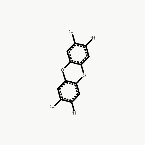 [2H]c1cc2c(cc1[2H])Oc1cc([2H])c([2H])cc1O2